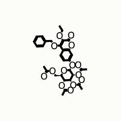 CCOc1c(OCc2ccccc2)c2ccc(O[C@@H]3O[C@H](COC(C)=O)[C@@H](OC(C)=O)[C@H](OC(C)=O)[C@H]3OC(C)=O)cc2oc1=O